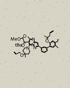 C=CCOC1(C)CCN(c2c([C@H](OC(C)(C)C)C(=O)OC)c(C)nc3cc(-c4cccc(-c5cc(C)c(F)cc5O[C@@H](C)CC=C)c4)nn23)CC1